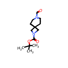 CC(C)(C)OC(=O)N1CC2(CCN(C=O)CC2)C1